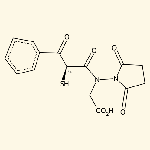 O=C(O)CN(C(=O)[C@@H](S)C(=O)c1ccccc1)N1C(=O)CCC1=O